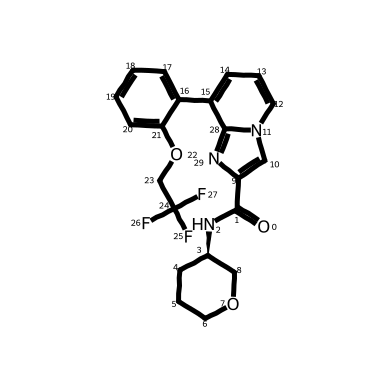 O=C(N[C@@H]1CCCOC1)c1cn2cccc(-c3ccccc3OCC(F)(F)F)c2n1